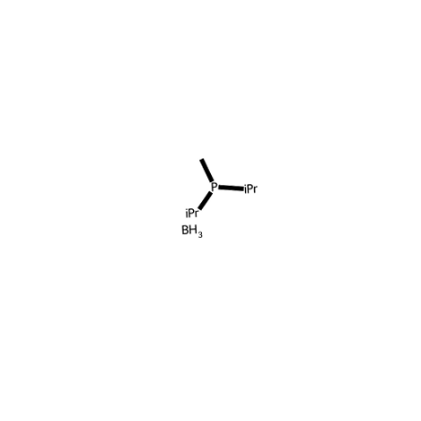 B.CC(C)P(C)C(C)C